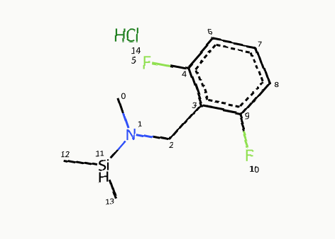 CN(Cc1c(F)cccc1F)[SiH](C)C.Cl